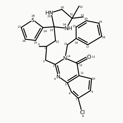 CC(Cc1nc2cc(Cl)ccc2c(=O)n1Cc1ccccc1)CC1(c2cccs2)NCC(C)(C)N1